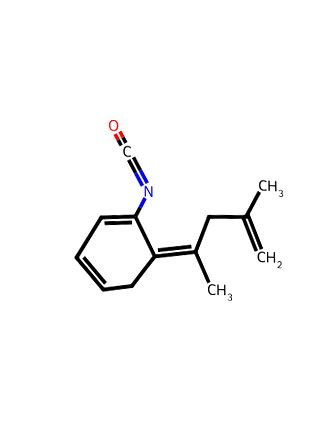 C=C(C)CC(C)=C1CC=CC=C1N=C=O